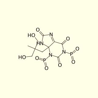 CC(CO)(CO)CC12NC(=O)N=C1C(=O)N(P(=O)=O)C(=O)N2P(=O)=O